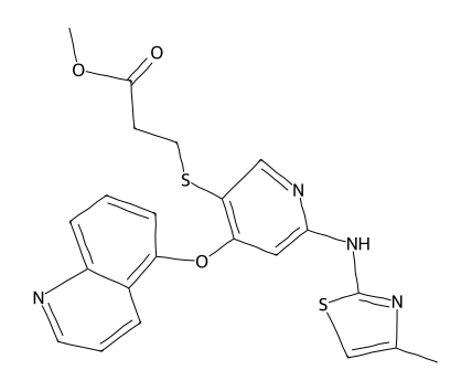 COC(=O)CCSc1cnc(Nc2nc(C)cs2)cc1Oc1cccc2ncccc12